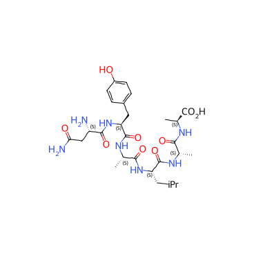 CC(C)C[C@H](NC(=O)[C@H](C)NC(=O)[C@H](Cc1ccc(O)cc1)NC(=O)[C@@H](N)CC(N)=O)C(=O)N[C@@H](C)C(=O)N[C@@H](C)C(=O)O